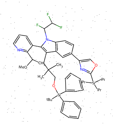 COC(C)c1ncccc1-c1c(CC(C)(C)CO[Si](c2ccccc2)(c2ccccc2)C(C)(C)C)c2cc(-c3coc([Si](C(C)C)(C(C)C)C(C)C)n3)ccc2n1C(F)C(F)F